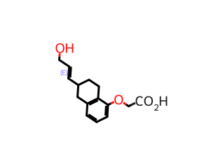 O=C(O)COc1cccc2c1CCC(/C=C/CO)C2